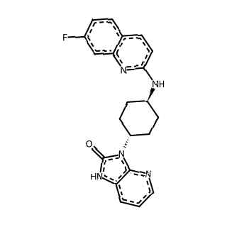 O=c1[nH]c2cccnc2n1[C@H]1CC[C@H](Nc2ccc3ccc(F)cc3n2)CC1